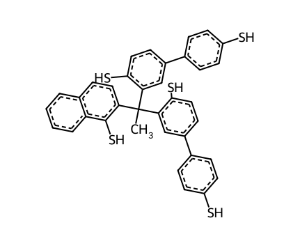 CC(c1cc(-c2ccc(S)cc2)ccc1S)(c1cc(-c2ccc(S)cc2)ccc1S)c1ccc2ccccc2c1S